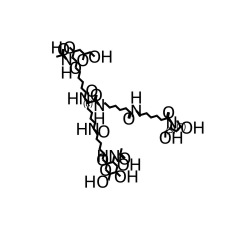 CC(=O)NC1C(O)CC(CO)OC1OCCCCC(=O)N[C@H](CCCCNC(=O)CCCCOC1OC(CO)C(O)C(O)C1NC(C)=O)C(=O)NCCCCCC(=O)NCCCCCC(=O)N1C[C@H](O)C[C@H]1CO